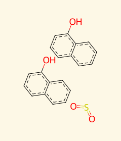 O=S=O.Oc1cccc2ccccc12.Oc1cccc2ccccc12